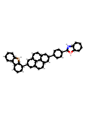 c1ccc2oc(-c3ccc(-c4cc5ccc6cc(-c7cccc8c7sc7ccccc78)cc7ccc(c4)c5c67)cc3)nc2c1